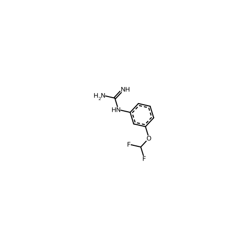 N=C(N)Nc1cccc(OC(F)F)c1